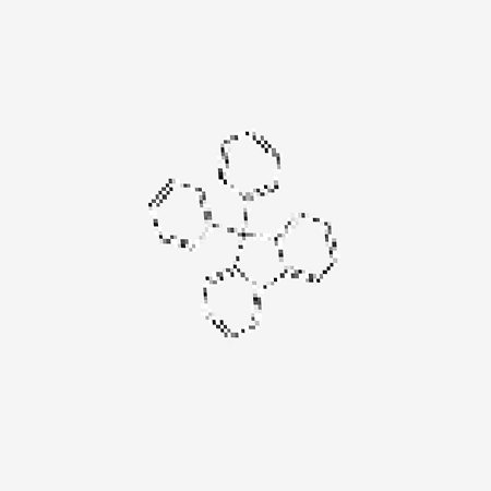 [c]1ccc2c(c1)-c1[c]cccc1C2(c1ccccc1)c1ccccc1